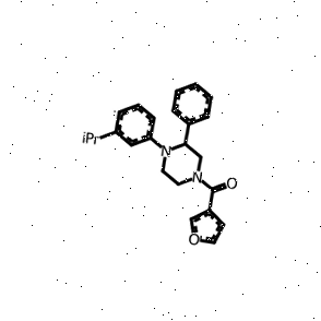 CC(C)c1[c]ccc(N2CCN(C(=O)c3ccoc3)CC2c2ccccc2)c1